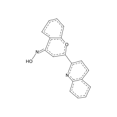 ON=c1cc(-c2ccc3ccccc3n2)oc2ccccc12